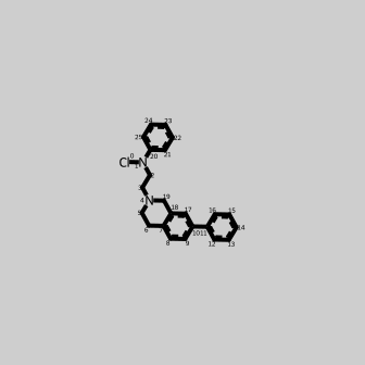 ClN(CCN1CCc2ccc(-c3ccccc3)cc2C1)c1ccccc1